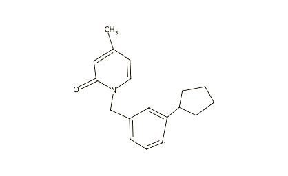 Cc1ccn(Cc2cc[c]c(C3CCCC3)c2)c(=O)c1